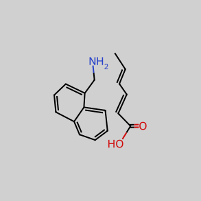 C/C=C/C=C/C(=O)O.NCc1cccc2ccccc12